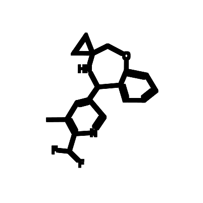 Cc1cc(C2NC3(CC3)COc3ccccc32)cnc1C(F)F